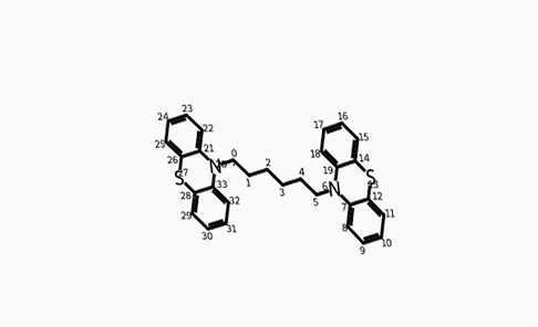 [CH](CCCCCN1c2ccccc2Sc2ccccc21)N1c2ccccc2Sc2ccccc21